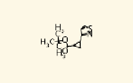 CC(C)(C)OC(=O)C1CC1c1ccsn1